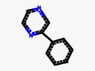 [c]1ccc(-c2cn[c]cn2)cc1